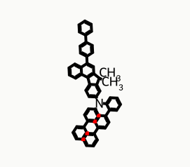 CC1(C)c2cc(N(c3ccc(-c4ccccc4)cc3)c3ccccc3-c3ccc(-c4ccccc4)cc3)ccc2-c2c1cc(-c1ccc(-c3ccccc3)cc1)c1ccccc21